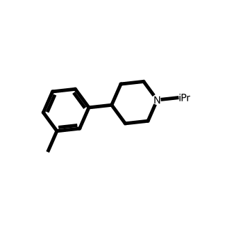 Cc1cccc(C2CCN(C(C)C)CC2)c1